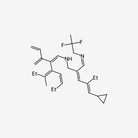 C=CC(=C)C(=C/NCC(/C=N\CC(C)(F)F)=C/C(=C/C1CC1)CC)/C(/C=C\CC)=C(/C)CC